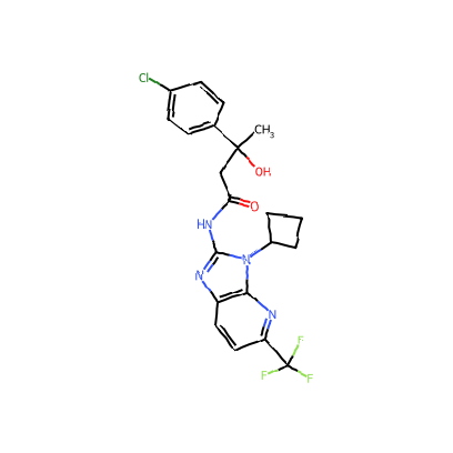 CC(O)(CC(=O)Nc1nc2ccc(C(F)(F)F)nc2n1C1CCC1)c1ccc(Cl)cc1